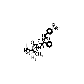 CC1(C)S[C@H]2C(NC(=O)C(NC(=O)Cc3ccc([N+](=O)[O-])cc3)c3ccccc3)C(=O)N2C1c1nnn[nH]1